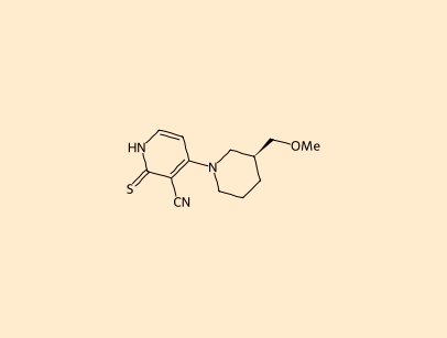 COC[C@H]1CCCN(c2cc[nH]c(=S)c2C#N)C1